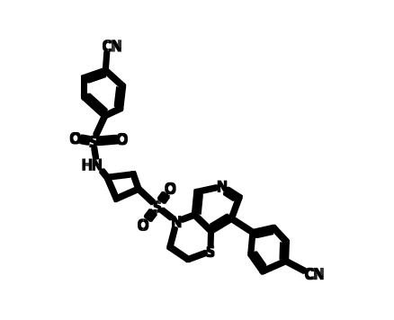 N#Cc1ccc(-c2cncc3c2SCCN3S(=O)(=O)C2CC(NS(=O)(=O)c3ccc(C#N)cc3)C2)cc1